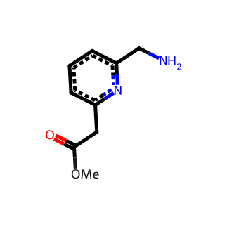 COC(=O)Cc1cccc(CN)n1